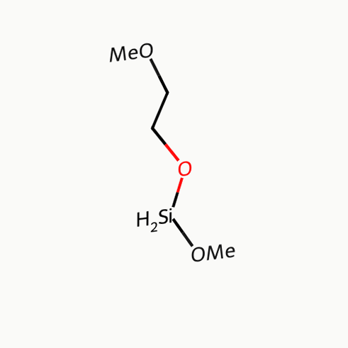 COCCO[SiH2]OC